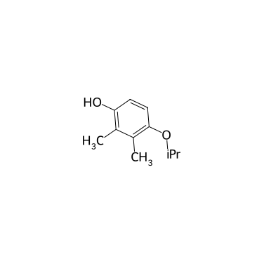 Cc1c(O)ccc(OC(C)C)c1C